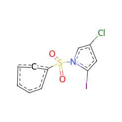 O=S(=O)(c1ccccc1)n1cc(Cl)cc1I